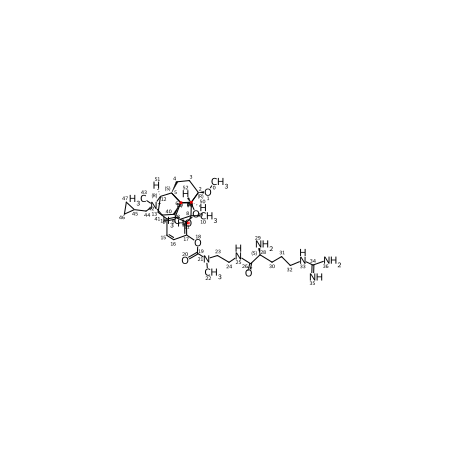 CO[C@]12CC[C@@]3(C[C@@H]1C(C)(C)O)[C@H]1Cc4ccc(OC(=O)N(C)CCNC(=O)[C@@H](N)CCCNC(=N)N)c5c4[C@@]3(CC[N+]1(C)CC1CC1)[C@H]2O5